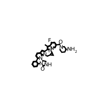 Cc1c(-c2cc3ccc(-c4ccccc4N4CCNC4=O)nc3n2CC2CC2)nn2cc(C(=O)N3CCC[C@@H](N)C3)cc(F)c12